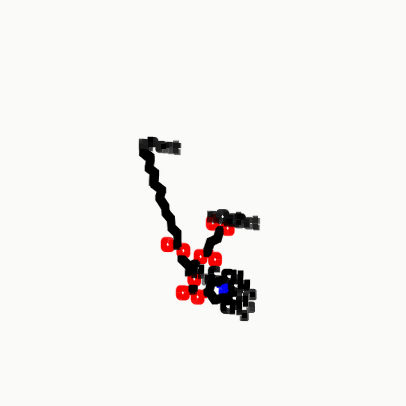 CCCCCC=CCC=CCCCCCCCC(=O)OCC(COC(=O)CCC(OCCCCCCCC)OCCCCCCCC)COC(=O)OC1CC(C)(C)N(C)C(C)(C)C1